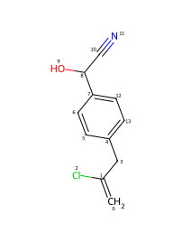 C=C(Cl)Cc1ccc(C(O)C#N)cc1